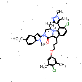 CCCn1c(N2C[C@@H](C)n3c(c(CCCOc4cc(C)c(Cl)c(C)c4)c4ccc(Cl)c(-c5c(C)nn(C)c5C)c43)C2=O)cc2cc(C(=O)O)ccc21